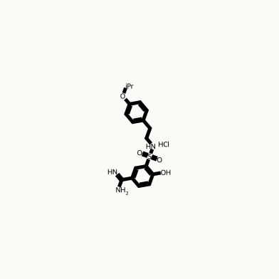 CC(C)Oc1ccc(CCNS(=O)(=O)c2cc(C(=N)N)ccc2O)cc1.Cl